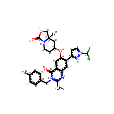 Cc1nc2cc(-c3ccn(C(F)F)n3)c(O[C@H]3CCN4C(=O)OC[C@@H]4C3)cc2c(=O)n1Cc1ccc(Cl)cc1